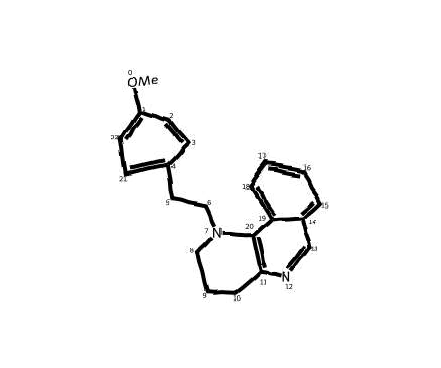 COc1ccc(CCN2CCCc3ncc4ccccc4c32)cc1